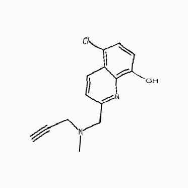 C#CCN(C)Cc1ccc2c(Cl)ccc(O)c2n1